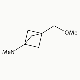 CNC12CC(COC)(C1)C2